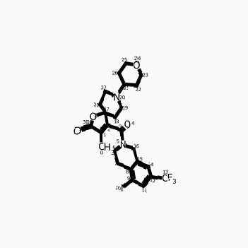 CC1=C(C(=O)N2CCc3c(I)cc(C(F)(F)F)cc3C2)C2(CCN(C3CCOCC3)CC2)OC1=O